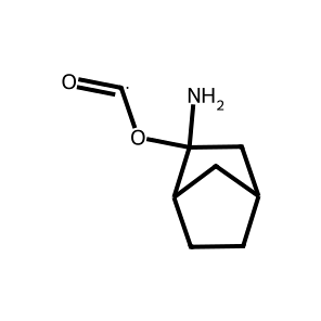 NC1(O[C]=O)CC2CCC1C2